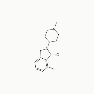 Cc1cccc2c1C(=O)N(C1CCN(C)CC1)C2